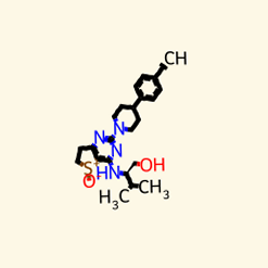 C#Cc1ccc(C2CCN(c3nc4c(c(N[C@@H](CO)C(C)C)n3)[S+]([O-])CC4)CC2)cc1